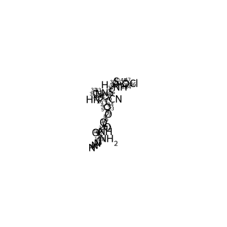 N#CC1=C(c2ccc(OCCOC(=O)CNC(=O)[C@@H](N)CN=[N+]=[N-])cc2)C(C=N)=C(N2CCCC2)NC1SCC1=CSC(c2ccc(Cl)cc2)N1